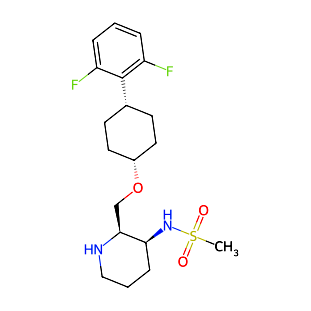 CS(=O)(=O)N[C@H]1CCCN[C@H]1CO[C@H]1CC[C@@H](c2c(F)cccc2F)CC1